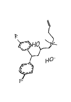 C=CCC[N+](C)(C)CC(O)CC(c1ccc(F)cc1)c1ccc(F)cc1.[OH-]